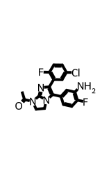 CC(=O)N1CCn2c1nc(-c1cc(Cl)ccc1F)c2-c1ccc(F)c(N)c1